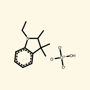 CCN1c2ccccc2C(C)(C)C1C.[O-][Cl+3]([O-])([O-])O